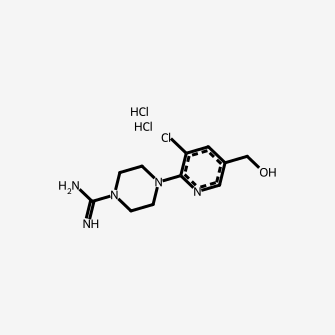 Cl.Cl.N=C(N)N1CCN(c2ncc(CO)cc2Cl)CC1